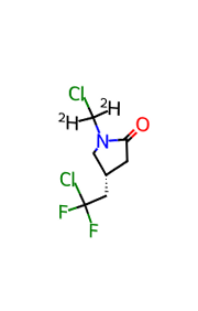 [2H]C([2H])(Cl)N1C[C@@H](CC(F)(F)Cl)CC1=O